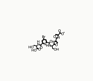 COC(=O)c1coc(-c2coc(C(CO)NC(=O)c3cc(Br)cc(C(=O)NC(CO)C(=O)O)n3)n2)n1